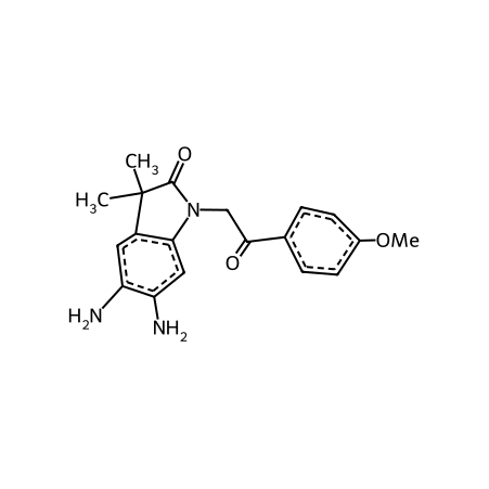 COc1ccc(C(=O)CN2C(=O)C(C)(C)c3cc(N)c(N)cc32)cc1